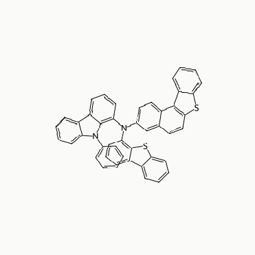 c1ccc(-n2c3ccccc3c3cccc(N(c4ccc5c(ccc6sc7ccccc7c65)c4)c4cccc5c4sc4ccccc45)c32)cc1